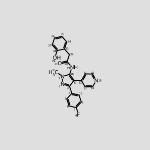 Cn1nc(-c2ccc(F)cc2)c(-c2ccncc2)c1NC(=O)Cc1ccccc1O